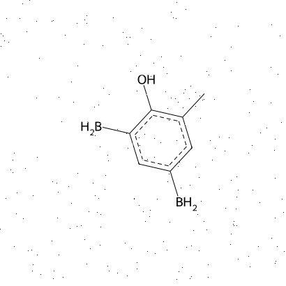 Bc1cc(B)c(O)c(C)c1